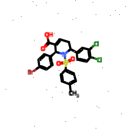 Cc1ccc(S(=O)(=O)N2C(c3ccc(Cl)c(Cl)c3)CC=C(C(=O)O)[C@@H]2c2ccc(Br)cc2)cc1